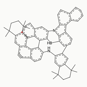 Cc1cc2c(cc1Nc1ccc3c#cc4cc5c(cc4c3c1-c1c3c(cc4ccccc14)-n1c4ccc6ccccc6c4c4cccc(c41)B3)C(C)(C)CCC5(C)C)C(C)(C)CCC2(C)C